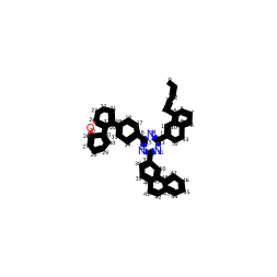 C/C=C\C=C/c1cccc2c1C=C(c1nc(-c3ccc(C4=CCCc5oc6ccccc6c54)cc3)nc(-c3ccc4ccc5ccccc5c4c3)n1)CC2